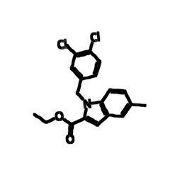 CCOC(=O)c1cc2cc(C)ccc2n1Cc1ccc(Cl)c(Cl)c1